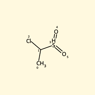 CC(Cl)[SH](=O)=O